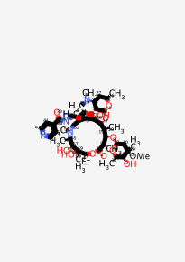 CC[C@H]1OC(=O)[C@H](C)[C@@H](O[C@H]2C[C@@](C)(OC)[C@@H](O)[C@H](C)O2)[C@H](C)[C@@H](O[C@@H]2O[C@H](C)C[C@H](N(C)C)[C@H]2OCCCNC(=O)c2ccncc2)[C@](C)(O)C[C@@H](C)CN(C)[C@H](C)[C@@H](O)[C@]1(C)O